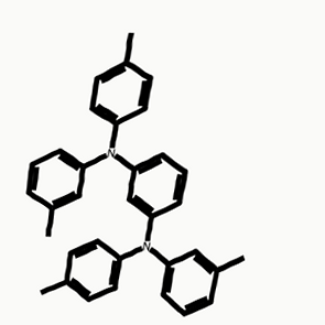 Cc1ccc(N(c2cccc(C)c2)c2cccc(N(c3ccc(C)cc3)c3cccc(C)c3)c2)cc1